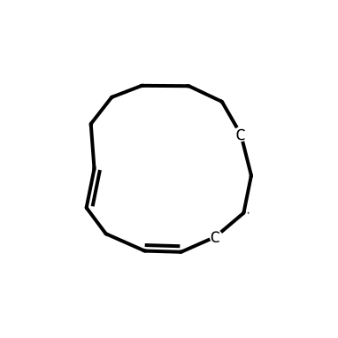 [CH]1C/C=C\C/C=C/CCCCCCC1